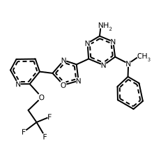 CN(c1ccccc1)c1nc(N)nc(-c2noc(-c3cccnc3OCC(F)(F)F)n2)n1